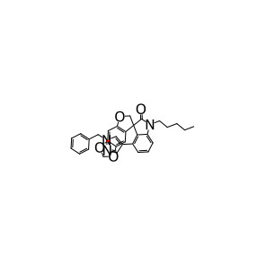 CCCCCN1C(=O)C2(COc3cc4c(cc32)OCO4)c2c(-c3cnn(Cc4ccccc4)c3)cccc21